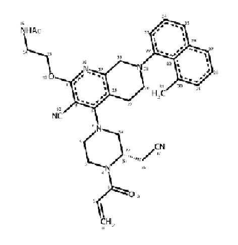 C=CC(=O)N1CCN(c2c(C#N)c(OCCNC(C)=O)nc3c2CCN(c2cccc4cccc(C)c24)C3)C[C@@H]1CC#N